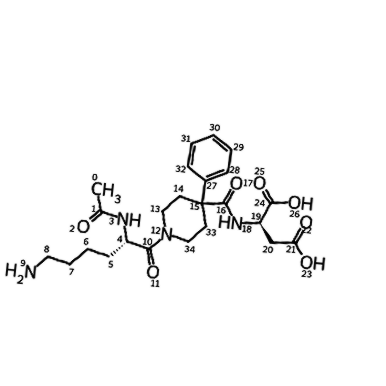 CC(=O)N[C@@H](CCCCN)C(=O)N1CCC(C(=O)N[C@H](CC(=O)O)C(=O)O)(c2ccccc2)CC1